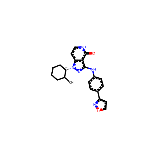 N#CC1CCCC[C@@H]1n1nc(Nc2ccc(-c3ccon3)cc2)c2c(=O)[nH]ccc21